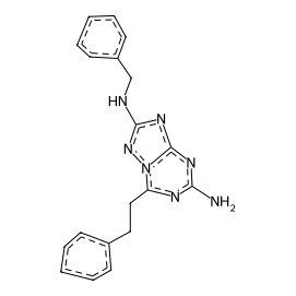 Nc1nc(CCc2ccccc2)n2nc(NCc3ccccc3)nc2n1